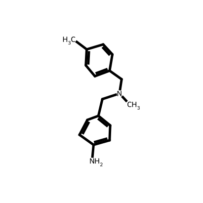 Cc1ccc(CN(C)Cc2ccc(N)cc2)cc1